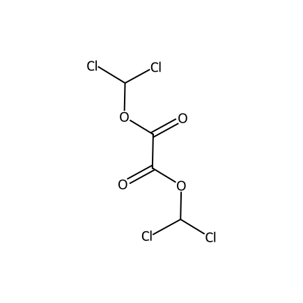 O=C(OC(Cl)Cl)C(=O)OC(Cl)Cl